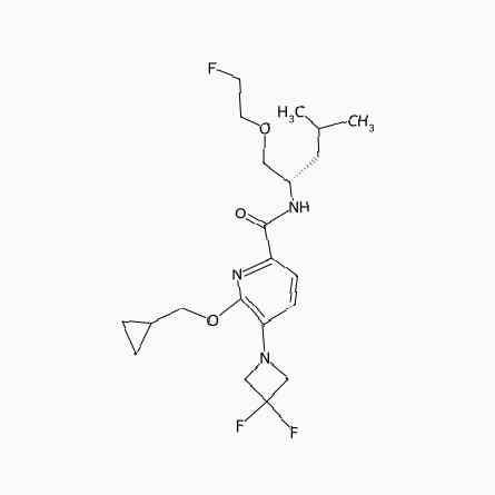 CC(C)C[C@@H](COCCF)NC(=O)c1ccc(N2CC(F)(F)C2)c(OCC2CC2)n1